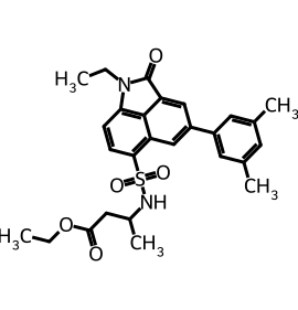 CCOC(=O)CC(C)NS(=O)(=O)c1ccc2c3c(cc(-c4cc(C)cc(C)c4)cc13)C(=O)N2CC